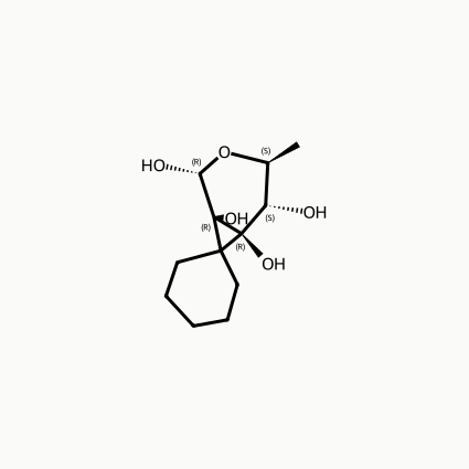 C[C@@H]1O[C@@H](O)[C@@]2(O)C3(CCCCC3)[C@@]2(O)[C@H]1O